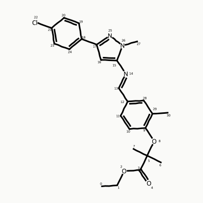 CCOC(=O)C(C)(C)Oc1ccc(C=Nc2cc(-c3ccc(Cl)cc3)nn2C)cc1C